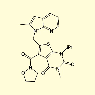 Cc1cc2cccnc2n1Cc1sc2c(c1C(=O)N1CCCO1)c(=O)n(C)c(=O)n2C(C)C